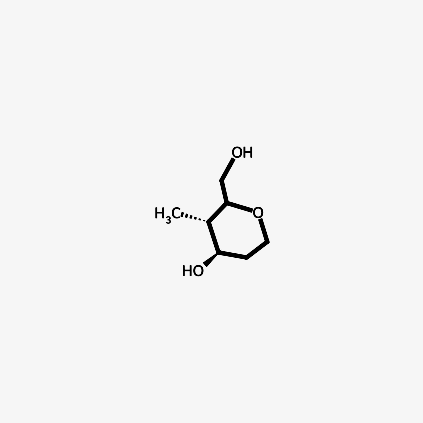 C[C@@H]1C(CO)OCC[C@H]1O